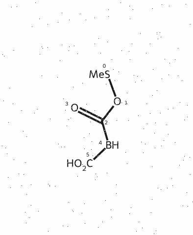 CSOC(=O)BC(=O)O